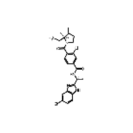 CC1CCN(C(=O)c2ccc(C(=O)N[C@@H](C)c3nc4cc(Cl)ccc4[nH]3)cc2Cl)[C@@]1(C)CN